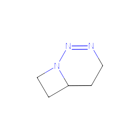 C1CC2CCN2N=N1